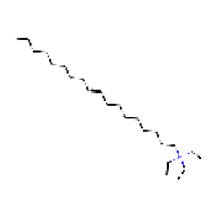 CCCCCCCCC=CCCCCCCCC[N+](CC)(CC)CC.[I-]